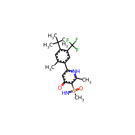 Cc1cc(C(C)(C)C)c(C(F)(F)F)cc1-c1cc(=O)c([S@@](C)(=N)=O)c(C)[nH]1